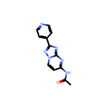 CC(=O)Nc1ccn2nc(-c3ccncc3)nc2n1